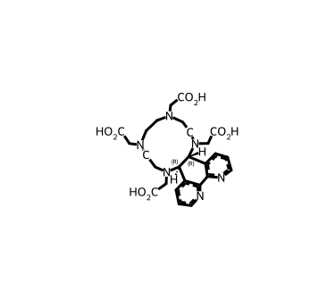 O=C(O)CN1CCN(CC(=O)O)CCN(CC(=O)O)[C@@H]2c3cccnc3-c3ncccc3[C@H]2N(CC(=O)O)CC1